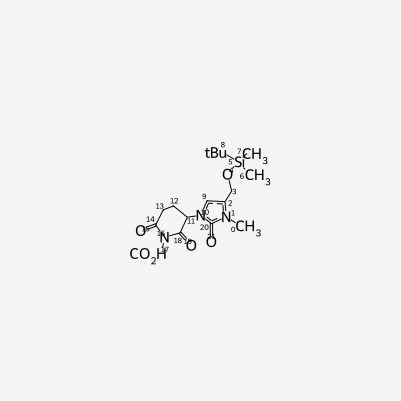 Cn1c(CO[Si](C)(C)C(C)(C)C)cn(C2CCC(=O)N(C(=O)O)C2=O)c1=O